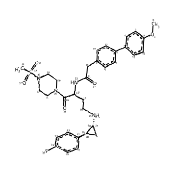 COc1ccc(-c2ccc(CC(=O)NC(CCN[C@@H]3C[C@H]3c3ccc(F)cc3)C(=O)N3CCN(S(C)(=O)=O)CC3)cc2)cc1